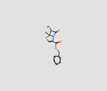 CC(C)[C@H]1C(=O)N2C(C(=O)OCc3ccccc3)=CS[C@H]12